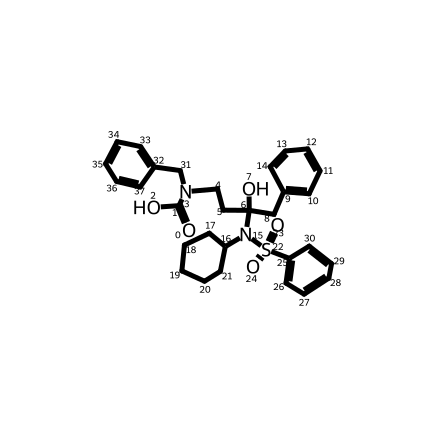 O=C(O)N(CCC(O)(Cc1ccccc1)N(C1CCCCC1)S(=O)(=O)c1ccccc1)Cc1ccccc1